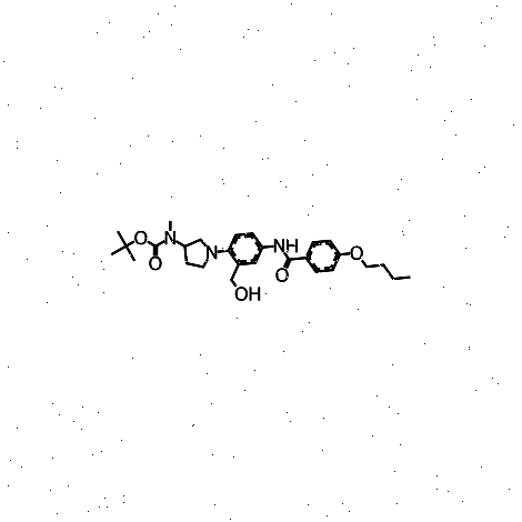 CCCCOc1ccc(C(=O)Nc2ccc(N3CCC(N(C)C(=O)OC(C)(C)C)C3)c(CO)c2)cc1